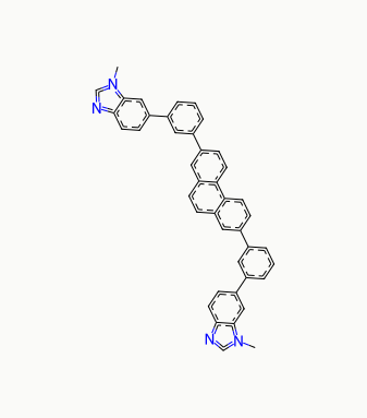 Cn1cnc2ccc(-c3cccc(-c4ccc5c(ccc6cc(-c7cccc(-c8ccc9ncn(C)c9c8)c7)ccc65)c4)c3)cc21